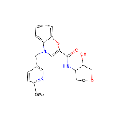 COc1ccc(CN2C=C(C(=O)NC3CCOCC3O)Oc3ccccc32)cn1